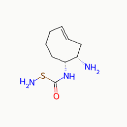 NSC(=O)N[C@@H]1CCC/C=C/C[C@@H]1N